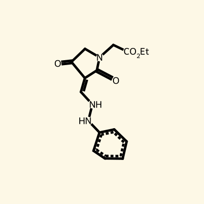 CCOC(=O)CN1CC(=O)C(=CNNc2ccccc2)C1=O